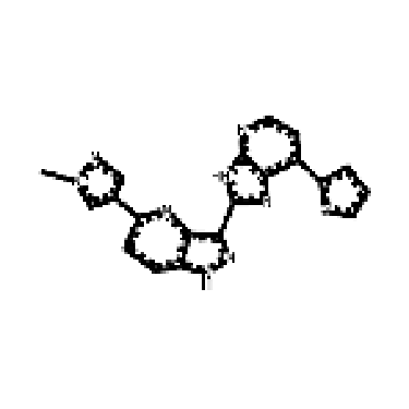 Cn1cc(-c2ccc3[nH]nc(-c4nc5c(-c6cccs6)ccnc5[nH]4)c3n2)cn1